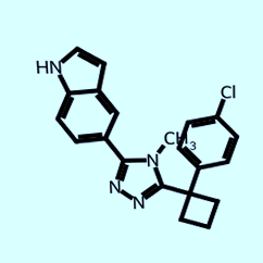 Cn1c(-c2ccc3[nH]ccc3c2)nnc1C1(c2ccc(Cl)cc2)CCC1